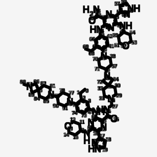 CCc1cc(Nc2nc(NC3CCOCC3)c(-c3cc[nH]n3)nc2C(=O)NCN2CCC3(CC2)CN(C2CCN(c4ccc(Nc5nc(NC6CCOCC6)c(-c6cc[nH]n6)nc5C(N)=O)cc4CC)CC2)C3)ccc1N1CCC(N2CCC3(CC2)CN(C)C3)CC1